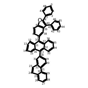 c1ccc(-c2oc3ccc(-c4c5ccccc5c(-c5ccc6c(ccc7ccccc76)c5)c5ccccc45)cc3c2-c2ccccc2)cc1